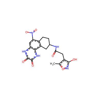 Cc1onc(O)c1CC(=O)NC1CCc2c([N+](=O)[O-])cc3[nH]c(=O)c(=O)[nH]c3c2C1